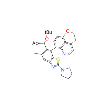 CC(=O)[C@@H](OC(C)(C)C)c1c(C)cc2nc(N3CCCC3)sc2c1-c1ccc2c3c(ccnc13)CCO2